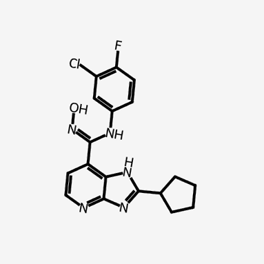 O/N=C(\Nc1ccc(F)c(Cl)c1)c1ccnc2nc(C3CCCC3)[nH]c12